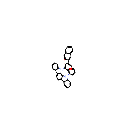 C1=CC2c3ccc4c5ccccc5n(-c5cccc6c5oc5cc7ccccc7cc56)c4c3N(c3ccccc3)C2C=C1